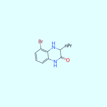 CCCC1Nc2c(Br)cccc2NC1=O